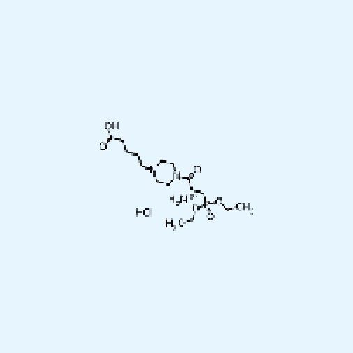 CCOP(=O)(C[C@H](N)C(=O)N1CCN(CCCCC(=O)O)CC1)OCC.Cl